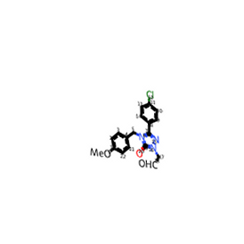 COc1ccc(Cn2c(-c3ccc(Cl)cc3)nn(CC=O)c2=O)cc1